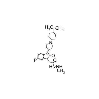 CNNC(=O)CC1C(=O)N(C2CCN(C3CCC(C(C)C)CC3)CC2)c2ccc(F)cc21